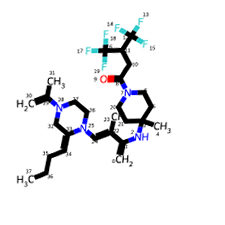 C=C(NC1(C)CCN(C(=O)CC(C(F)(F)F)C(F)(F)F)CC1)/C(C)=C/N1CCN(C(=C)C)C/C1=C\CCC